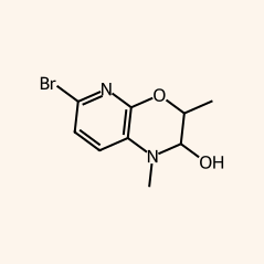 CC1Oc2nc(Br)ccc2N(C)C1O